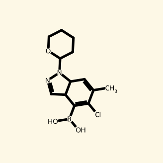 CC1=CC2C(C=NN2C2CCCCO2)C(B(O)O)=C1Cl